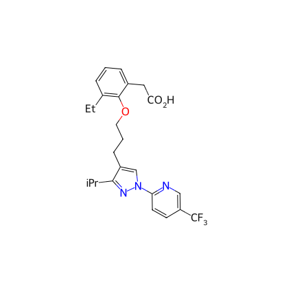 CCc1cccc(CC(=O)O)c1OCCCc1cn(-c2ccc(C(F)(F)F)cn2)nc1C(C)C